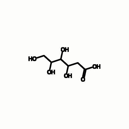 O=C(O)CC(O)C(O)C(O)CO